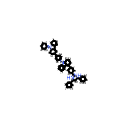 C1=CCC(N2C3=C(C=CCC3)C3=CC(c4ccc(-n5c6ccccc6c6c(C7=CCC(C8NC(c9ccccc9)=CC(c9ccccc9)N8)C=C7)cccc65)cc4)=CCC32)C=C1